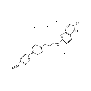 N#Cc1ccc(N2CCN(CCCOc3ccc4[nH]c(=O)ccc4c3)CC2)cc1